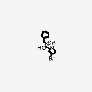 OC(c1cc(Br)ccn1)N(O)Cc1ccccc1